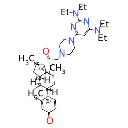 CCN(CC)c1cc(N2CCN(CC(=O)[C@H]3[C@H](C)C[C@H]4[C@@H]5CCC6=CC(=O)C=C[C@]6(C)[C@H]5CC[C@@]43C)CC2)nc(N(CC)CC)n1